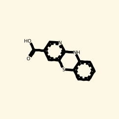 O=C(O)c1cnc2c(c1)Sc1ccccc1N2